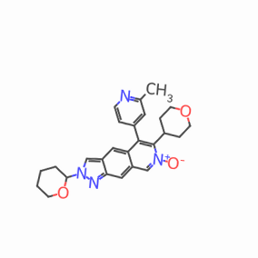 Cc1cc(-c2c(C3CCOCC3)[n+]([O-])cc3cc4nn(C5CCCCO5)cc4cc23)ccn1